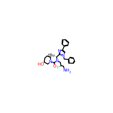 CC(C)(C)[C@H](c1nc(-c2ccccc2)cn1Cc1ccccc1)N(C[C@H](F)CN)C(=O)N1CCC[C@H](O)C1